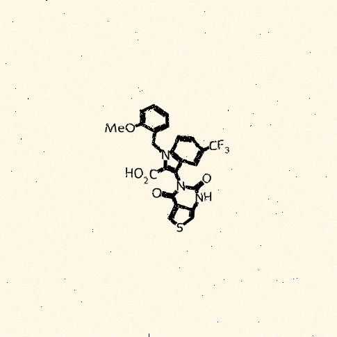 COc1ccccc1Cn1c(C(=O)O)c(-n2c(=O)[nH]c3cscc3c2=O)c2cc(C(F)(F)F)ccc21